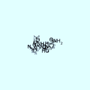 CC(C)(C)OC(=O)N[C@@H](CN1C[C@@H]2C[C@H]1C(=O)N2c1cccc(C(N)=O)c1)C(=O)N1CCC[C@H]1C#N